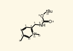 Cc1ccc(CNC(=O)OC(C)(C)C)[n+](C)c1